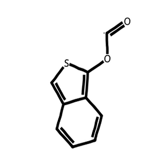 O=[C]Oc1scc2ccccc12